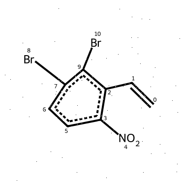 C=Cc1c([N+](=O)[O-])ccc(Br)c1Br